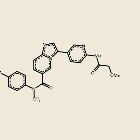 COCC(=O)Nc1ccc(-c2cnc3ccc(C(=O)N(C)c4ccc(F)cc4)cn23)cn1